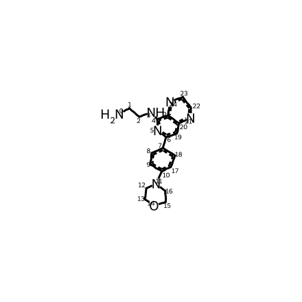 NCCNc1nc(-c2ccc(N3CCOCC3)cc2)cc2nccnc12